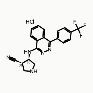 Cl.N#C[C@@H]1CNC[C@@H]1Nc1nnc(-c2ccc(C(F)(F)F)cc2)c2ccccc12